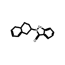 O=c1c2ccccc2[se]n1C1CCC2CC=CC=C2C1